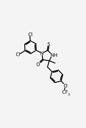 CC1(Cc2ccc(OC(F)(F)F)cc2)NC(=S)N(c2cc(Cl)cc(Cl)c2)C1=O